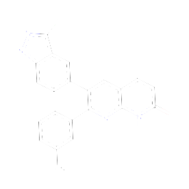 N#Cc1cccc(-c2nc3[nH]c(=O)ccc3cc2-c2ccc3[nH]nc(Cl)c3c2)c1